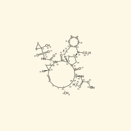 C[C@@H]1CCC=C[C@@H]2C[C@@]2(C(=O)NS(=O)(=O)C2(C)CC2)NC(=O)[C@@H]2C[C@@H](N(C(=O)O)c3ccccc3C(F)(F)F)CN2C(=O)[C@@H](NC(=O)OC(C)(C)C)[C@H](C)C1